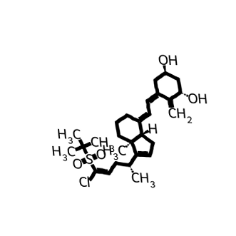 C=C1/C(=C\C=C2/CCC[C@]3(C)C([C@H](C)C/C=C(/Cl)S(=O)(=O)C(C)(C)C)=CC[C@@H]23)C[C@@H](O)C[C@@H]1O